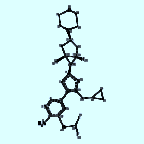 Nc1ncc(-c2cc([C@H]3[C@@H]4C[C@@H](N5CCOCC5)C[C@@H]43)nn2CC2CC2)cc1OC(F)F